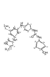 CCc1nc(Nc2ccc(NC(=O)Nc3ccc(O)cc3)cc2)nc(Nc2cc(C)[nH]n2)n1